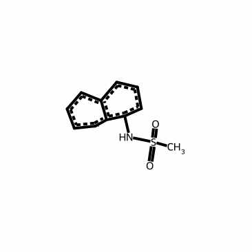 CS(=O)(=O)Nc1cccc2ccc[c]c12